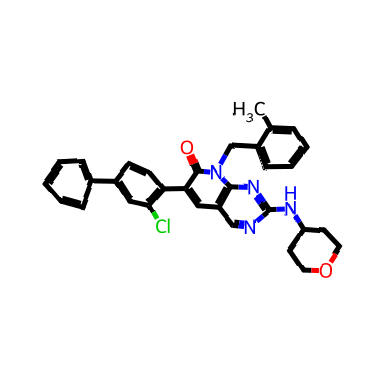 Cc1ccccc1Cn1c(=O)c(-c2ccc(-c3ccccc3)cc2Cl)cc2cnc(NC3CCOCC3)nc21